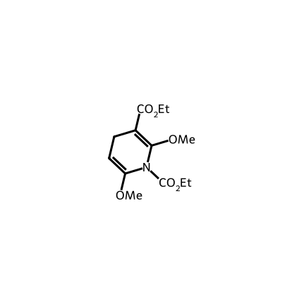 CCOC(=O)C1=C(OC)N(C(=O)OCC)C(OC)=CC1